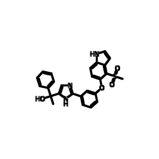 CC(O)(c1ccccc1)c1cnc(-c2cccc(Oc3ccc4[nH]ccc4c3S(C)(=O)=O)c2)[nH]1